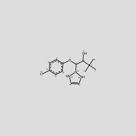 CC(C)(C)C(O)C(Oc1ccc(Cl)cc1)N1NC=CN1